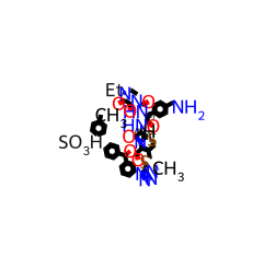 CCN1CCN(C(=O)N[C@H](C(=O)N[C@@H]2C(=O)N3C(C(=O)OC(c4ccccc4)c4ccccc4)=C(CSc4nnnn4C)CS[C@H]23)c2ccc(CN)cc2)C(=O)C1=O.Cc1ccc(S(=O)(=O)O)cc1